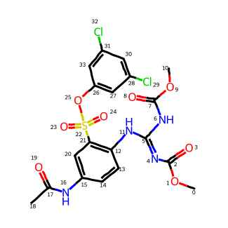 COC(=O)N=C(NC(=O)OC)Nc1ccc(NC(C)=O)cc1S(=O)(=O)Oc1cc(Cl)cc(Cl)c1